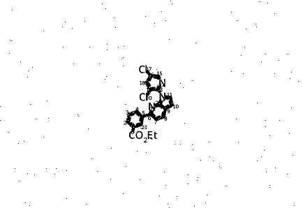 CCOC(=O)c1cccc(-c2ccc3ccn(-c4ncc(Cl)cc4Cl)c3n2)c1